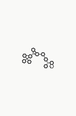 C1=Cc2c(cccc2N(c2ccccc2)c2ccc(-c3cccc(-c4ccc5c(c4)c4ccccc4n5-c4ccc5c(c4)-c4ccccc4C5(c4ccccc4)c4ccccc4)c3)cc2)CC1